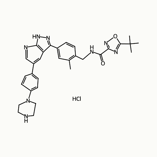 Cc1cc(-c2n[nH]c3ncc(-c4ccc(N5CCNCC5)cc4)cc23)ccc1CNC(=O)c1noc(C(C)(C)C)n1.Cl